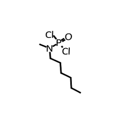 CCCCCCN(C)P(=O)(Cl)Cl